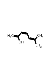 C=C(O)/C=C\C=C(C)C